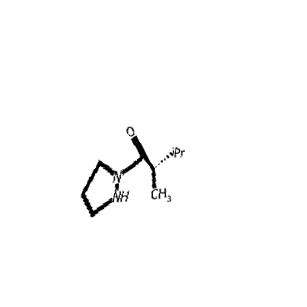 CC(C)[C@H](C)C(=O)N1CCCN1